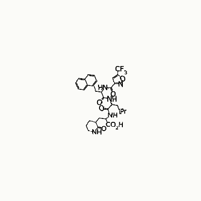 CC(C)CC(NC(=O)C(Cc1cccc2ccccc12)NC(=O)c1cc(C(F)(F)F)on1)C(=O)NC(CC1CCCNC1=O)C(=O)O